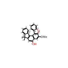 COc1cc2c(O)cc3c(c2c2c1oc1ccccc12)-c1ccccc1C3(C)C